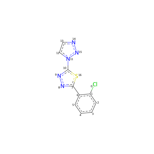 Clc1ccccc1-c1nnc(-n2ccnn2)s1